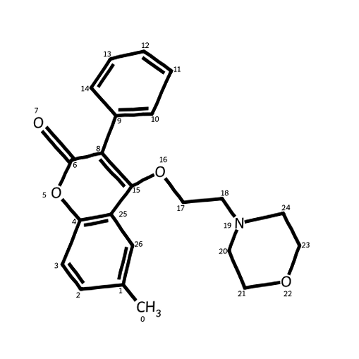 Cc1ccc2oc(=O)c(-c3ccccc3)c(OCCN3CCOCC3)c2c1